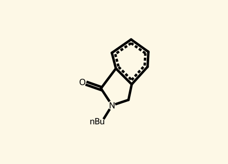 [CH2]CCCN1Cc2ccccc2C1=O